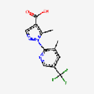 Cc1cc(C(F)(F)F)cnc1-n1ncc(C(=O)O)c1C